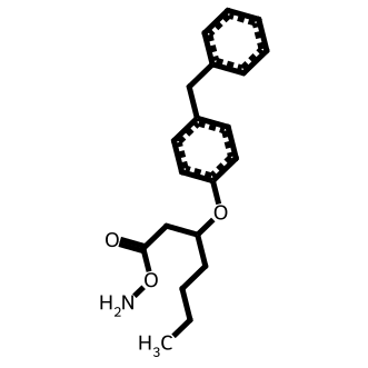 CCCCC(CC(=O)ON)Oc1ccc(Cc2ccccc2)cc1